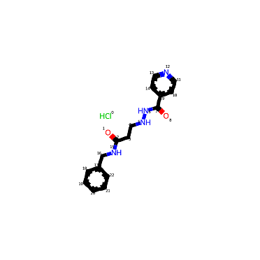 Cl.O=C(CCNNC(=O)c1ccncc1)NCc1ccccc1